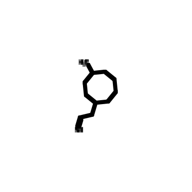 CC1CCCCC(CC=N)CC1